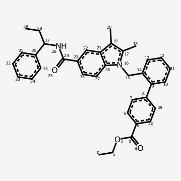 CCOC(=O)c1ccc(-c2ccccc2Cn2c(C)c(C)c3cc(C(=O)NC(CC)c4ccccc4)ccc32)cc1